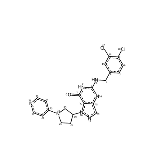 O=c1[nH]c(NCc2ccc(Cl)c(Cl)c2)nc2cnn(C3CCN(c4ccncc4)C3)c12